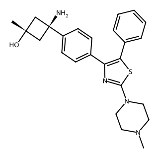 CN1CCN(c2nc(-c3ccc([C@]4(N)C[C@](C)(O)C4)cc3)c(-c3ccccc3)s2)CC1